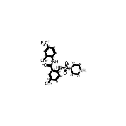 O=C(Nc1ccc(C(F)(F)F)cc1Cl)c1cc(Cl)ccc1NS(=O)(=O)N1CCNCC1